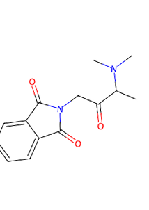 CC(C(=O)CN1C(=O)c2ccccc2C1=O)N(C)C